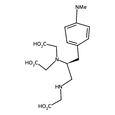 CNc1ccc(C[C@@H](CNCC(=O)O)N(CC(=O)O)CC(=O)O)cc1